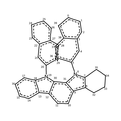 c1ccc2cc(-n3c4c(c5ccc6c7ccccc7n(-c7cc8ccccc8cn7)c6c53)CCCC4)ncc2c1